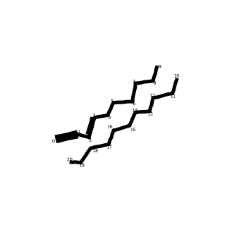 C#CC=CCCCCCC.CCCCCCCCCCC